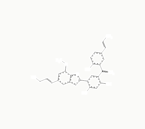 C=C(c1cc(/C=C/C)ccc1O)c1cc(-c2cc3cc(/C=C/CO)cc(OC)c3o2)c(O)cc1O